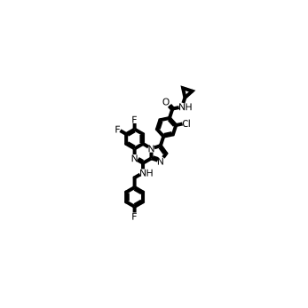 O=C(NC1CC1)c1ccc(-c2cnc3c(NCc4ccc(F)cc4)nc4cc(F)c(F)cc4n23)cc1Cl